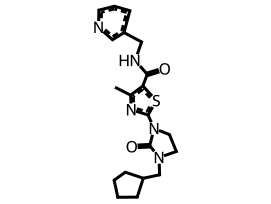 Cc1nc(N2CCN(CC3CCCC3)C2=O)sc1C(=O)NCc1cccnc1